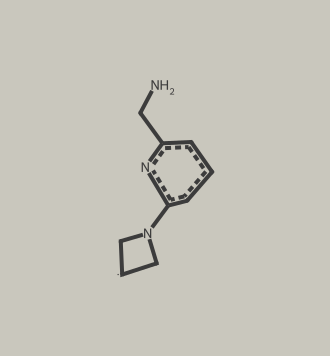 NCc1cccc(N2C[CH]C2)n1